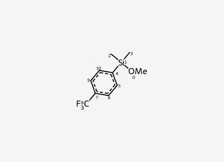 CO[Si](C)(C)c1ccc(C(F)(F)F)cc1